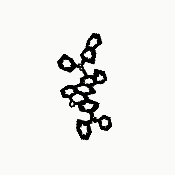 c1ccc(B(c2ccc3ccccc3c2)c2cc3c4cccc5c4c(cc3c3ccccc23)-c2ccc(N(c3ccccc3)c3ccccc3)cc2O5)cc1